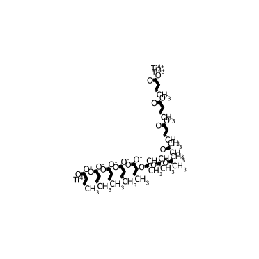 CC(C)[O-].CC(C)[O-].CC(C)[O-].CC(C)[O-].CCCC(=O)[O-].CCCC(=O)[O-].CCCC(=O)[O-].CCCC(=O)[O-].CCCC(=O)[O-].CCCC(=O)[O-].CCCC(=O)[O-].CCCC(=O)[O-].[Ti+4].[Ti+4].[Ti+4]